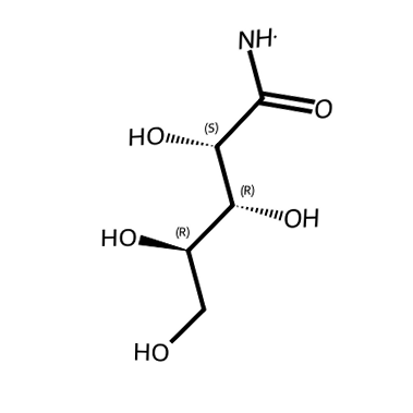 [NH]C(=O)[C@@H](O)[C@H](O)[C@H](O)CO